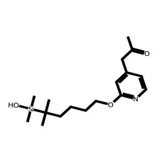 CC(=O)Cc1ccnc(OCCCCC(C)(C)[Si](C)(C)O)c1